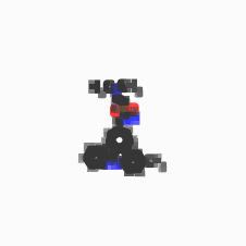 CN(C)CCS(=O)(=O)NC[C@H]1CC[C@@H]2[C@H](CC1)c1cc(C(F)(F)F)ccc1N[C@H]2c1ccccc1